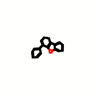 C1=C(c2ccccc2)c2oc3ccccc3c2CC1